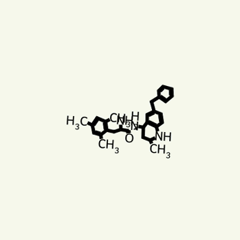 Cc1cc(C)c(CC(N)C(=O)NC2CC(C)Nc3ccc(Cc4ccccc4)cc32)c(C)c1